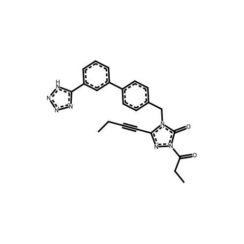 CCC#Cc1nn(C(=O)CC)c(=O)n1Cc1ccc(-c2cccc(-c3nnn[nH]3)c2)cc1